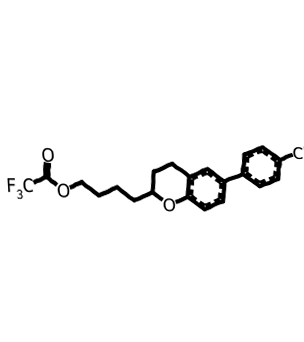 O=C(OCCCCC1CCc2cc(-c3ccc(Cl)cc3)ccc2O1)C(F)(F)F